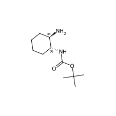 CC(C)(C)OC(=O)N[C@@H]1CCCC[C@H]1N